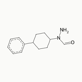 NN(C=O)C1CCC(c2ccccc2)CC1